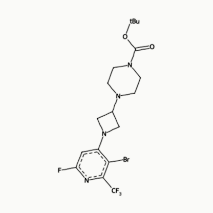 CC(C)(C)OC(=O)N1CCN(C2CN(c3cc(F)nc(C(F)(F)F)c3Br)C2)CC1